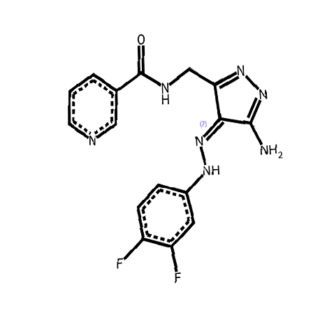 NC1=NN=C(CNC(=O)c2cccnc2)/C1=N/Nc1ccc(F)c(F)c1